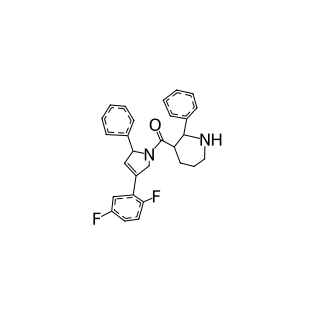 O=C(C1CCCNC1c1ccccc1)N1CC(c2cc(F)ccc2F)=CC1c1ccccc1